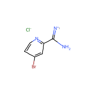 [Cl-].[N+]=C(N)c1cc(Br)ccn1